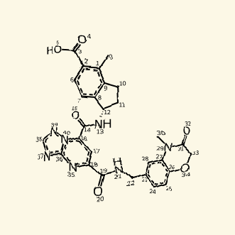 Cc1c(C(=O)O)ccc2c1CC[C@@H]2NC(=O)c1cc(C(=O)NCc2ccc3c(c2)N(C)C(=O)CO3)nc2ncnn12